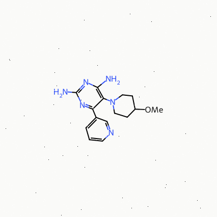 COC1CCN(c2c(N)nc(N)nc2-c2cccnc2)CC1